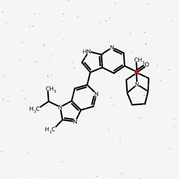 Cc1nc2cnc(-c3c[nH]c4ncc(C(=O)N5C6CCC5CN(C)C6)cc34)cc2n1C(C)C